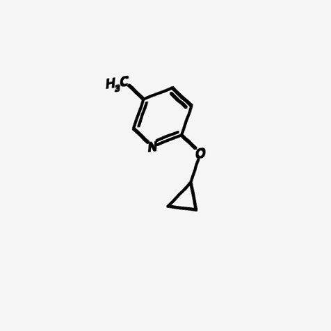 Cc1ccc(OC2CC2)nc1